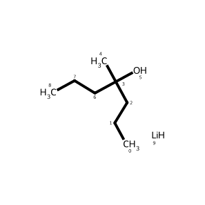 CCCC(C)(O)CCC.[LiH]